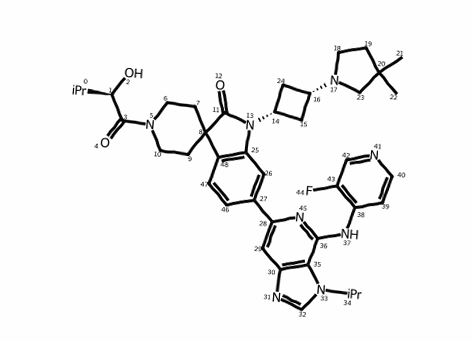 CC(C)[C@@H](O)C(=O)N1CCC2(CC1)C(=O)N([C@H]1C[C@@H](N3CCC(C)(C)C3)C1)c1cc(-c3cc4ncn(C(C)C)c4c(Nc4ccncc4F)n3)ccc12